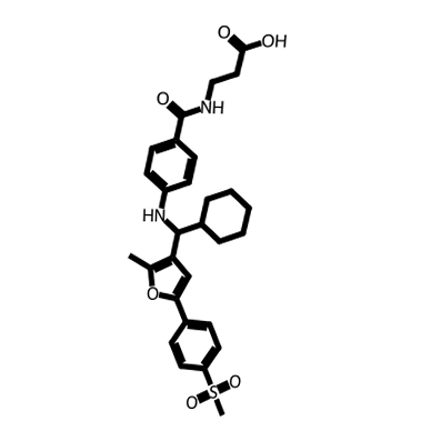 Cc1oc(-c2ccc(S(C)(=O)=O)cc2)cc1C(Nc1ccc(C(=O)NCCC(=O)O)cc1)C1CCCCC1